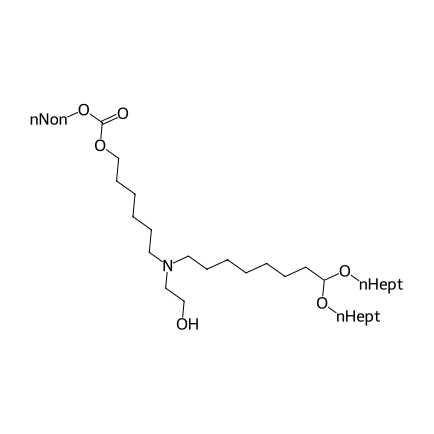 CCCCCCCCCOC(=O)OCCCCCCN(CCO)CCCCCCCC(OCCCCCCC)OCCCCCCC